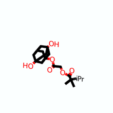 CC(C)C(C)(C)C(=O)OCC(=O)OC12CC3CC(O)(CC(O)(C3)C1)C2